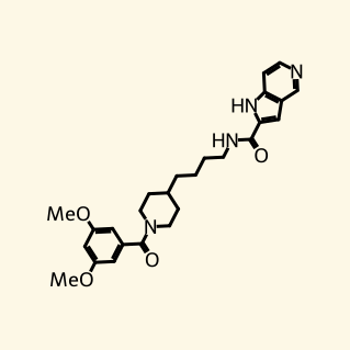 COc1cc(OC)cc(C(=O)N2CCC(CCCCNC(=O)c3cc4cnccc4[nH]3)CC2)c1